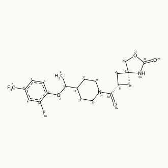 CC(Oc1ccc(C(F)(F)F)cc1F)C1CCN(C(=O)[C@H]2C[C@@]3(COC(=O)N3)C2)CC1